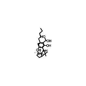 CCCCCc1cc2c(c(O)c1C(O)O)[C@@H]1[C@H]3C(CC[C@@]3(C)O2)C1(C)C